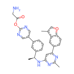 Cc1nc(N[C@@H](C)c2cccc(-c3cnc(OC(=O)CN)nc3)c2)cc(-c2ccc3occ(C)c3c2)n1